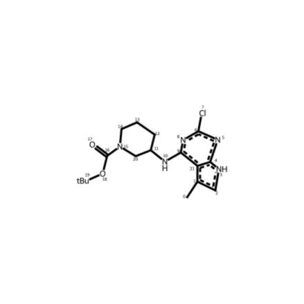 Cc1c[nH]c2nc(Cl)nc(NC3CCCN(C(=O)OC(C)(C)C)C3)c12